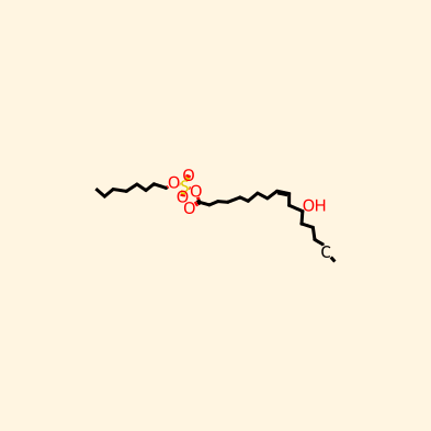 CCCCCCCCOS(=O)(=O)OC(=O)CCCCCCC/C=C\C[C@H](O)CCCCCC